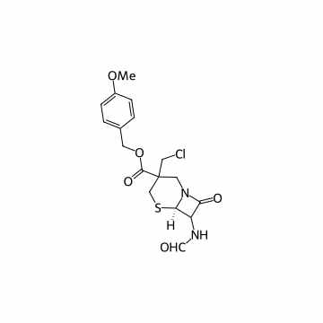 COc1ccc(COC(=O)C2(CCl)CS[C@@H]3C(NC=O)C(=O)N3C2)cc1